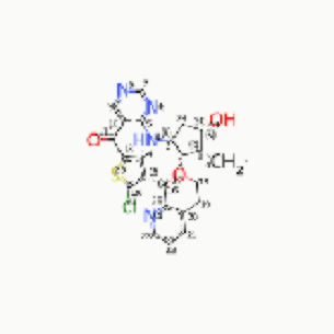 [CH2][C@@H]1C[C@@H](Nc2ncncc2C(=O)c2cc([C@@H]3OCCc4cccnc43)c(Cl)s2)C[C@@H]1O